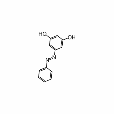 Oc1cc(O)cc(N=Nc2ccccc2)c1